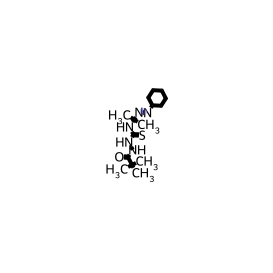 CC(C)(/N=N/C1CCCCC1)NC(=S)NNC(=O)C(C)(C)C